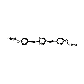 CCCCCCCOc1ccc(C#Cc2cnc(C#Cc3ccc(OCCCCCCC)cc3)nc2)cc1